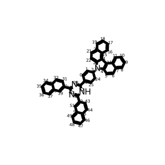 C1=CC(n2c3ccc4ccccc4c3c3c4ccccc4ccc32)CC=C1C1N=C(c2ccc3ccccc3c2)N=C(c2ccc3ccccc3c2)N1